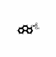 O=[PH](O)Oc1cccc2c1ccc1ccccc12